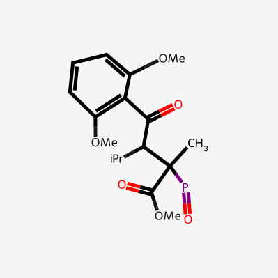 COC(=O)C(C)(P=O)C(C(=O)c1c(OC)cccc1OC)C(C)C